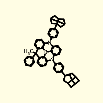 CC1(c2ccccc2)c2cccc3c2B2c4c(cccc4N(c4ccc(C56CC7CC5CC7C6)cc4)c4cccc1c42)N3c1ccc(C23CC4CC5CC(C2)C54C3)cc1